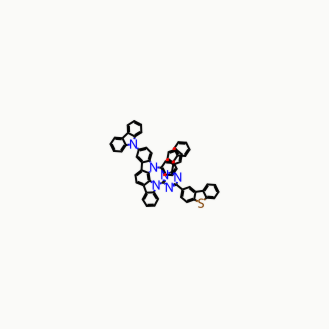 c1ccc(-c2cccc(-n3c4ccc(-n5c6ccccc6c6ccccc65)cc4c4ccc5c6ccccc6n(-c6nc(-c7ccccc7)nc(-c7ccc8sc9ccccc9c8c7)n6)c5c43)c2)cc1